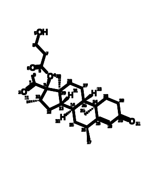 CC(=O)[C@@]1(OC(=O)CCO)[C@@H](C)C[C@H]2[C@@H]3C[C@H](C)C4=CC(=O)CC[C@]4(C)[C@H]3CC[C@@]21C